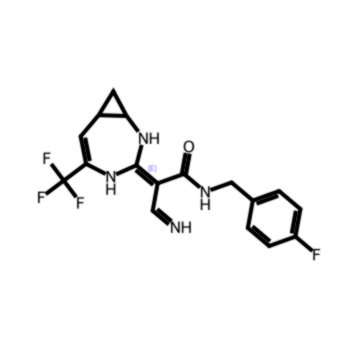 N=C/C(C(=O)NCc1ccc(F)cc1)=C1\NC(C(F)(F)F)=CC2CC2N1